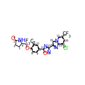 O=C1CCC(COc2ccc(-c3nc(-c4cn5cc(C(F)(F)F)cc(Cl)c5n4)no3)cc2C(F)(F)F)N1